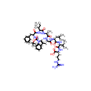 CC[C@H](C)[C@H](NC(=O)[C@@H](N)Cc1ccccc1)C(=O)N[C@@H](C)C(=O)N[C@@H](Cc1cn(C(=O)OC(C)(C)C)c2ccccc12)C(=O)N[C@@H](CC(C)C)C(=O)N[C@H](C(=O)N[C@@H](CCCNC(=N)N)C(=O)O)C(C)C